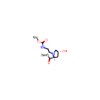 COC(=O)[C@]1(C)C[C@@H](O)CN1CCNC(=O)OC(C)(C)C